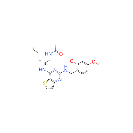 CCCC[C@H](CNC(C)=O)Nc1nc(NCc2ccc(OC)cc2OC)nc2ccsc12